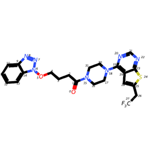 O=C(CCCOn1nnc2ccccc21)N1CCN(c2ncnc3sc(CC(F)(F)F)cc23)CC1